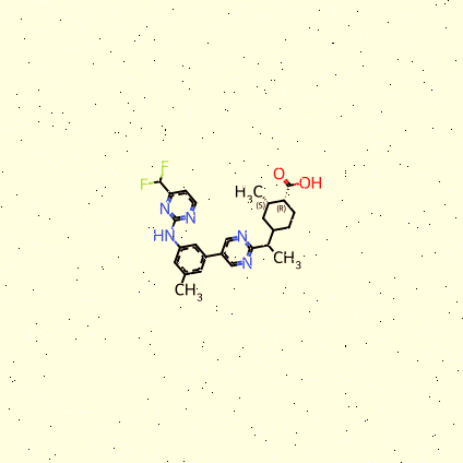 Cc1cc(Nc2nccc(C(F)F)n2)cc(-c2cnc(C(C)C3CC[C@@H](C(=O)O)[C@@H](C)C3)nc2)c1